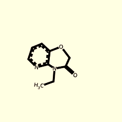 CCN1C(=O)COc2cccnc21